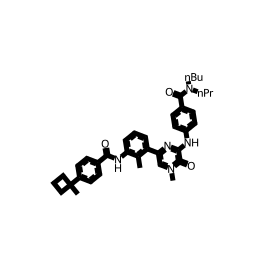 CCCCN(CCC)C(=O)c1ccc(Nc2nc(-c3cccc(NC(=O)c4ccc(C5(C)CCC5)cc4)c3C)cn(C)c2=O)cc1